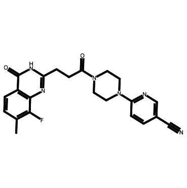 Cc1ccc2c(=O)[nH]c(CCC(=O)N3CCN(c4ccc(C#N)cn4)CC3)nc2c1F